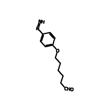 N=Nc1ccc(OCCCCCC=O)cc1